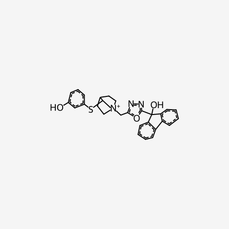 Oc1cccc(SC2C[N+]3(Cc4nnc(C5(O)c6ccccc6-c6ccccc65)o4)CCC2CC3)c1